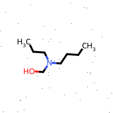 CCCCN(CO)CCC